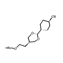 CCCCOCC[C@H]1CO[C@H]([C@H]2CC[C@H](C#N)CC2)OC1